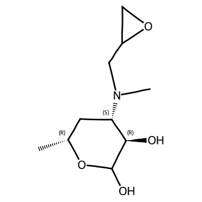 C[C@@H]1C[C@H](N(C)CC2CO2)[C@@H](O)C(O)O1